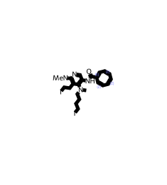 CNc1ncc(NC(=O)C2=C/C=C\C=C/C=C\2)c(N(C)CCCCI)c1CCI